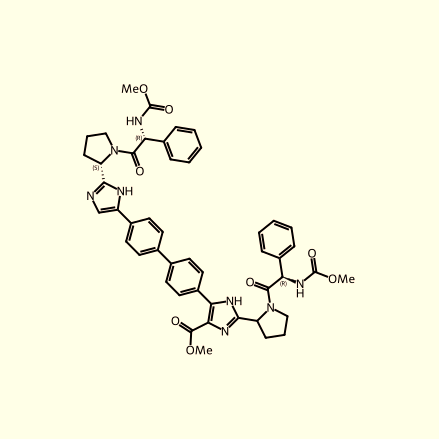 COC(=O)N[C@@H](C(=O)N1CCCC1c1nc(C(=O)OC)c(-c2ccc(-c3ccc(-c4cnc([C@@H]5CCCN5C(=O)[C@H](NC(=O)OC)c5ccccc5)[nH]4)cc3)cc2)[nH]1)c1ccccc1